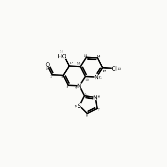 O=CC1=CN(c2nccs2)c2nc(Cl)ccc2C1O